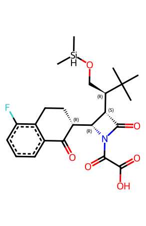 C[SiH](C)OC[C@H]([C@@H]1C(=O)N(C(=O)C(=O)O)[C@@H]1[C@H]1CCc2c(F)cccc2C1=O)C(C)(C)C